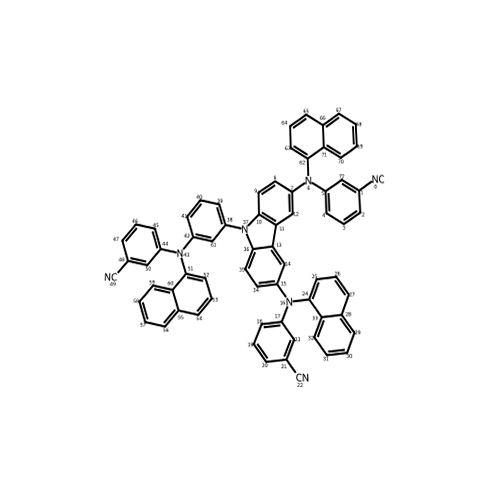 [C-]#[N+]c1cccc(N(c2ccc3c(c2)c2cc(N(c4cccc(C#N)c4)c4cccc5ccccc45)ccc2n3-c2cccc(N(c3cccc(C#N)c3)c3cccc4ccccc34)c2)c2cccc3ccccc23)c1